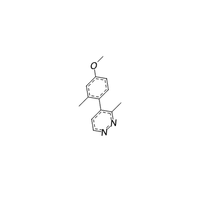 COc1ccc(-c2ccnnc2C)c(C)c1